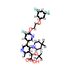 Cc1ncc(-c2cnc(OCCOc3cc(F)cc(F)c3)c(F)c2)c(N2CCC(C)(C)CC2)c1[C@H](OC(C)(C)C)C(=O)O